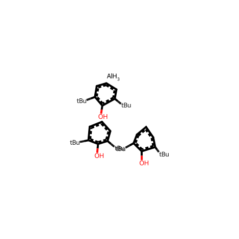 CC(C)(C)c1cccc(C(C)(C)C)c1O.CC(C)(C)c1cccc(C(C)(C)C)c1O.CC(C)(C)c1cccc(C(C)(C)C)c1O.[AlH3]